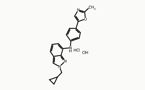 Cc1ncc(-c2ccc(Nc3cccc4cn(CC5CC5)nc34)cc2)o1.Cl.Cl